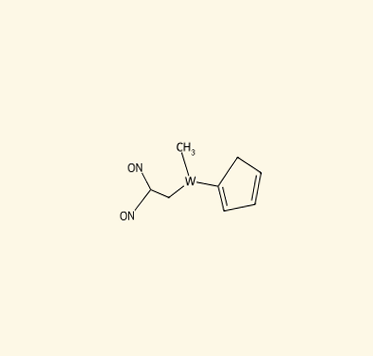 [CH3][W]([CH2]C(N=O)N=O)[C]1=CC=CC1